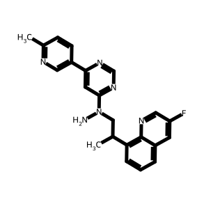 Cc1ccc(-c2cc(N(N)CC(C)c3cccc4cc(F)cnc34)ncn2)cn1